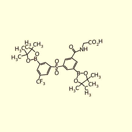 CC1(C)OB(c2cc(C(=O)NCC(=O)O)cc(S(=O)(=O)c3cc(B4OC(C)(C)C(C)(C)O4)cc(C(F)(F)F)c3)c2)OC1(C)C